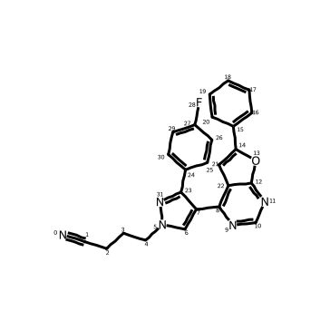 N#CCCCn1cc(-c2ncnc3oc(-c4ccccc4)cc23)c(-c2ccc(F)cc2)n1